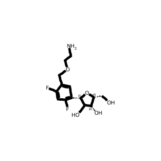 NCCOCc1cc([C@@H]2O[C@H](CO)[C@H](O)C2O)c(F)cc1F